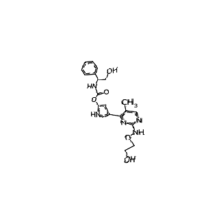 Cc1cnc(NOCCO)nc1-c1c[nH]c(OC(=O)NC(CO)c2ccccc2)c1